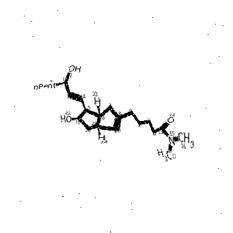 CCCCC[C@@H](O)/C=C/[C@H]1[C@@H]2CC(CCCCC(=O)N(C)C)=C[C@@H]2C[C@H]1O